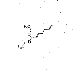 CC=CCCC=CC(OCC(F)(F)F)OCC(F)(F)F